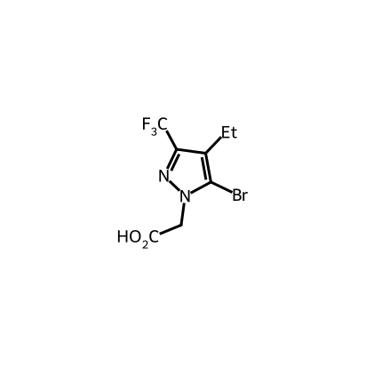 CCc1c(C(F)(F)F)nn(CC(=O)O)c1Br